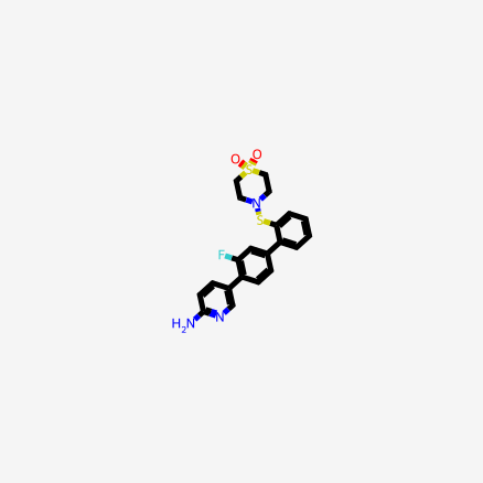 Nc1ccc(-c2ccc(-c3ccccc3SN3CCS(=O)(=O)CC3)cc2F)cn1